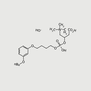 CCCCOc1cccc(OCCCCOP(=O)(O)OC(CC(=O)O)C[N+](C)(C)C)c1.[OH-]